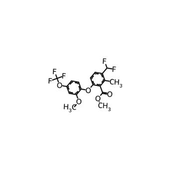 COC(=O)c1c(Oc2ccc(OC(F)(F)F)cc2OC)ccc(C(F)F)c1C